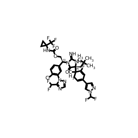 CC(C)(C)C[C@]1(C2(C)CC=C(c3cnn(C(F)F)c3)C=C2F)NC(=N)N([C@H](COC(=O)NC2(C(F)(F)F)CC2)c2ccc(Cl)c(-n3ncnc3C(F)F)c2)C1=O